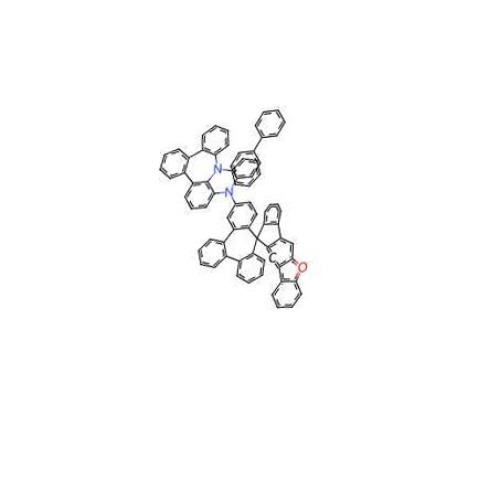 c1ccc(-c2ccc(N(c3ccc4c(c3)-c3ccccc3-c3ccccc3C43c4ccccc4-c4cc5oc6ccccc6c5cc43)c3cccc4c3N(c3ccccc3)c3ccccc3-c3ccccc3-4)cc2)cc1